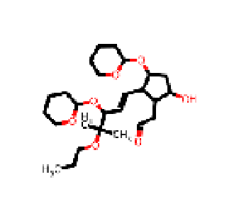 CCCOC(C)(C)C(C=CC1C(OC2CCCCO2)CC(O)C1CC=O)OC1CCCCO1